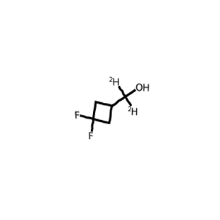 [2H]C([2H])(O)C1CC(F)(F)C1